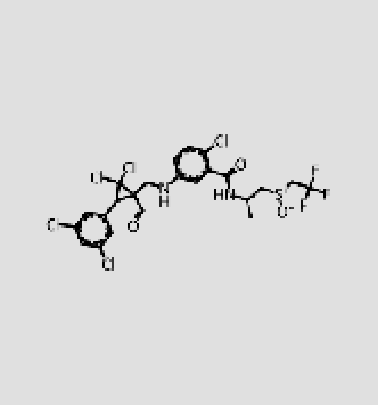 C[C@H](C[S+]([O-])CC(F)(F)F)NC(=O)c1cc(NCC2(C=O)C(c3cc(Cl)cc(Cl)c3)C2(Cl)Cl)ccc1Cl